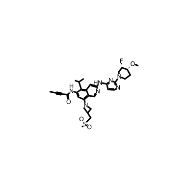 CC#CC(=O)Nc1cc(N2CC(CS(C)(=O)=O)C2)c2cnc(Nc3ccnc(N4CC[C@@H](OC)[C@@H](F)C4)n3)cc2c1C(C)C